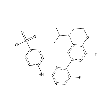 CC(C)N1CCOc2c(F)cc(-c3nc(Nc4ccc(S(=O)(=O)Cl)cc4)ncc3F)cc21